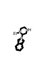 CCN1CCNCC1n1cc2ccccc2c1